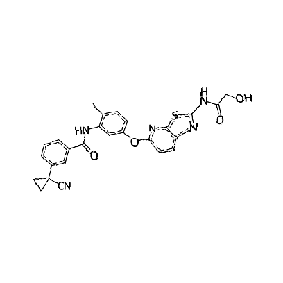 Cc1ccc(Oc2ccc3nc(NC(=O)CO)sc3n2)cc1NC(=O)c1cccc(C2(C#N)CC2)c1